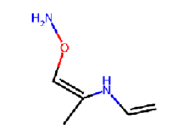 C=CN/C(C)=C\ON